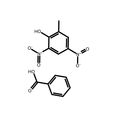 Cc1cc([N+](=O)[O-])cc([N+](=O)[O-])c1O.O=C(O)c1ccccc1